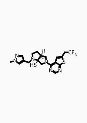 Cn1cc(CN2CC[C@H]3CN(c4ncnc5sc(CC(F)(F)F)cc45)C[C@]32S)cn1